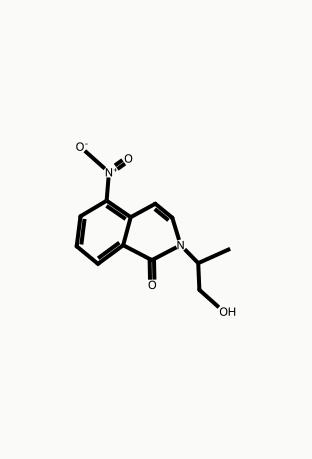 CC(CO)n1ccc2c([N+](=O)[O-])cccc2c1=O